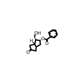 O=C1CC2C[C@@H](OC(=O)c3ccccc3)[C@H](CO)[C@H]2C1